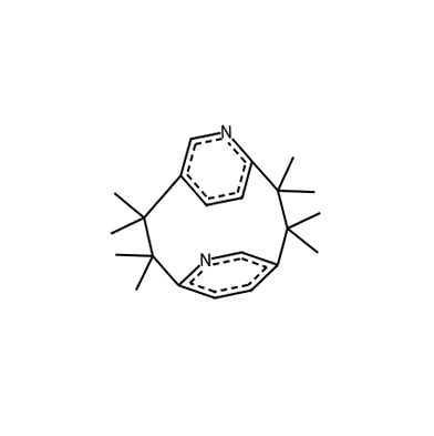 CC1(C)c2ccc(nc2)C(C)(C)C(C)(C)c2ccc(nc2)C1(C)C